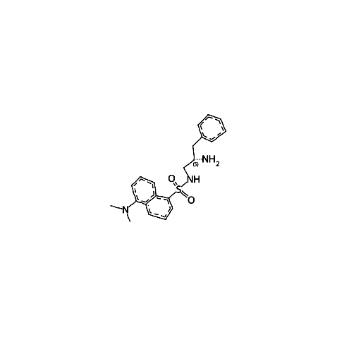 CN(C)c1cccc2c(S(=O)(=O)NC[C@@H](N)Cc3ccccc3)cccc12